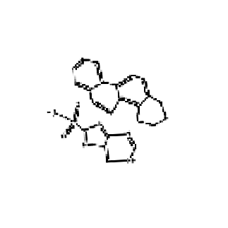 NS(=O)(=O)c1nc2c[nH]cnc-2n1.c1ccc2c(c1)ccc1c3c(ccc12)CCCC3